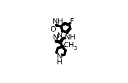 CC1(c2cnn3c2NC2=CC(F)=CC(C(N)=O)C23)CCNCC1